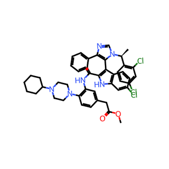 C=C(Nc1cc(CC(=O)OC)ccc1N1CCN(C2CCCCC2)CC1)c1[nH]c2cc(Cl)ccc2c1-c1c(-c2ccccc2)ncn1[C@@H](C)c1ccc(Cl)cc1Cl